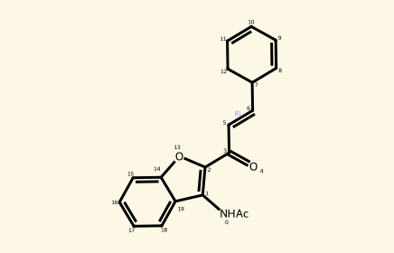 CC(=O)Nc1c(C(=O)/C=C/C2C=CC=CC2)oc2ccccc12